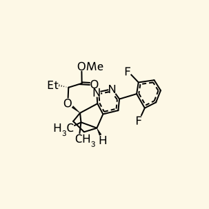 CC[C@@H](O[C@@]12CC[C@@H](c3cc(-c4c(F)cccc4F)nnc31)C2(C)C)C(=O)OC